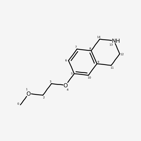 COCCOc1ccc2c(c1)CCNC2